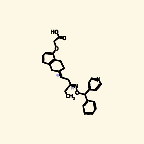 CC/C(C/C=C1\CCc2c(cccc2OCC(=O)O)C1)=N\OC(c1ccccc1)c1ccncc1